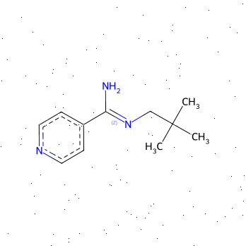 CC(C)(C)C/N=C(\N)c1ccncc1